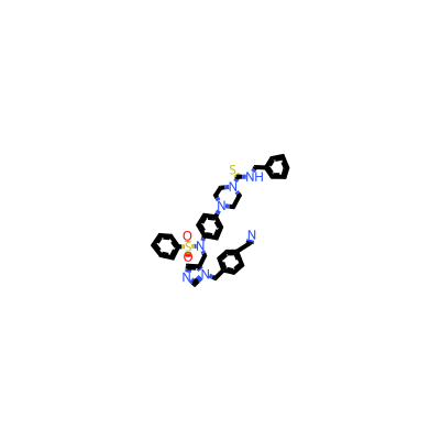 N#Cc1ccc(Cn2cncc2CN(c2ccc(N3CCN(C(=S)NCc4ccccc4)CC3)cc2)S(=O)(=O)c2ccccc2)cc1